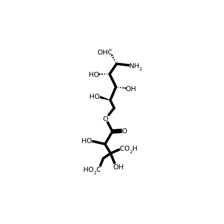 N[C@@H](C=O)[C@@H](O)[C@H](O)[C@H](O)COC(=O)C(O)C(O)(CC(=O)O)C(=O)O